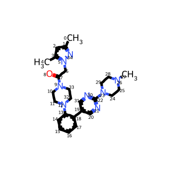 Cc1cc(C)n(CC(=O)N2CCN(c3ccccc3-c3cnc(N4CCN(C)CC4)nc3)CC2)n1